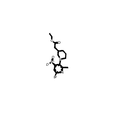 CCOC(=O)CC1CCCN(c2c([N+](=O)[O-])cc(Br)nc2C)C1